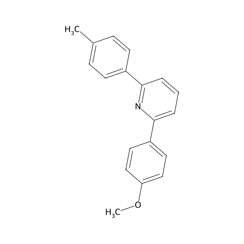 COc1ccc(-c2cccc(-c3ccc(C)cc3)n2)cc1